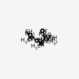 COc1ccc(CNC2CCC(c3c(NC(=O)c4nc(-c5c(F)cccc5F)sc4N(C(=O)O)C(C)(C)C)cnn3C)CC2)c(OC)c1